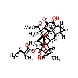 C=C1C(=O)O[C@]23C4=C5C(=O)[C@H](O)[C@@]6(C)[C@@H]7C[C@@H]7C(=CC2C2C(C[C@]13[C@]5(C)C(=O)OC)[C@](O)(COC(=O)/C(C)=C/C)[C@H]1[C@@H](C)[C@@H]21)[C@@]46O